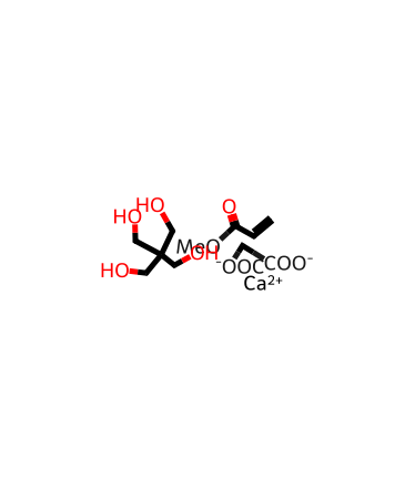 C=CC(=O)OC.O=C([O-])CC(=O)[O-].OCC(CO)(CO)CO.[Ca+2]